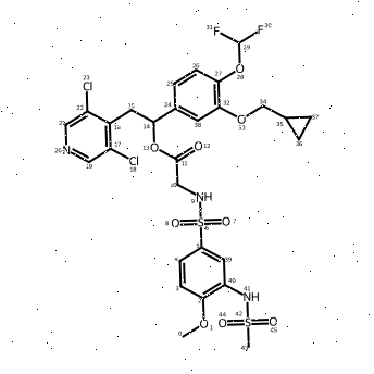 COc1ccc(S(=O)(=O)NCC(=O)OC(Cc2c(Cl)cncc2Cl)c2ccc(OC(F)F)c(OCC3CC3)c2)cc1NS(C)(=O)=O